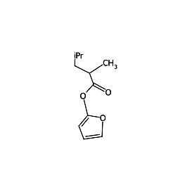 CC(C)CC(C)C(=O)Oc1ccco1